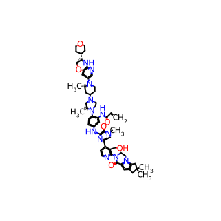 C=CC(=O)Nc1cc(Nc2nc(-c3ccnc(N4CCn5c(cc6c5CC(C)(C)C6)C4=O)c3CO)cn(C)c2=O)ccc1N1CCN(C2CCN(c3cnc4c(c3)OC[C@H](C3CCOCC3)N4)[C@@H](C)C2)C[C@@H]1C